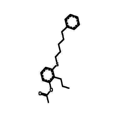 CCCc1c(OC(C)=O)cccc1SCCCCCc1ccccc1